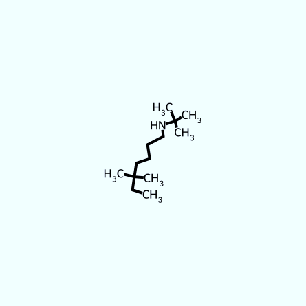 CCC(C)(C)CCCCNC(C)(C)C